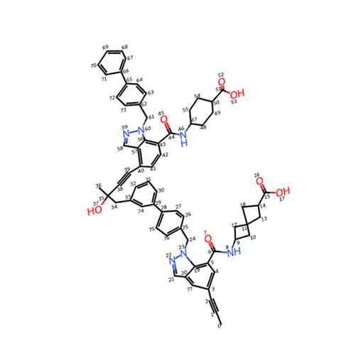 CC#Cc1cc(C(=O)NC2CC3(C2)CC(C(=O)O)C3)c2c(cnn2Cc2ccc(-c3cccc(CC(C)(O)C#Cc4ccc(C(=O)NC5CCC(C(=O)O)CC5)c5c4cnn5Cc4ccc(-c5ccccc5)cc4)c3)cc2)c1